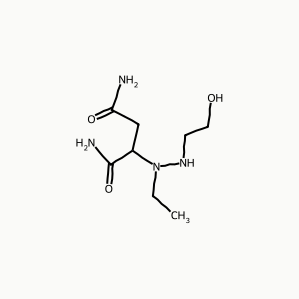 CCN(NCCO)C(CC(N)=O)C(N)=O